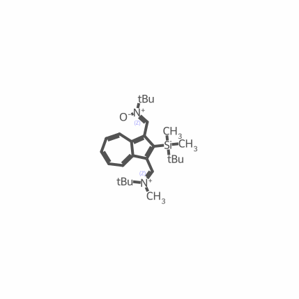 C/[N+](=C/c1c2cccccc-2c(/C=[N+](\[O-])C(C)(C)C)c1[Si](C)(C)C(C)(C)C)C(C)(C)C